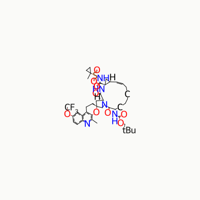 Cc1nc2ccc(OC(F)(F)F)cc2c2c1O[C@]1(CC2)C[C@H]2C(=O)N[C@]3(C(=O)NS(=O)(=O)C4(C)CC4)C[C@H]3/C=C\CCCCC[C@H](NC(=O)OCC(C)(C)C)C(=O)N2C1